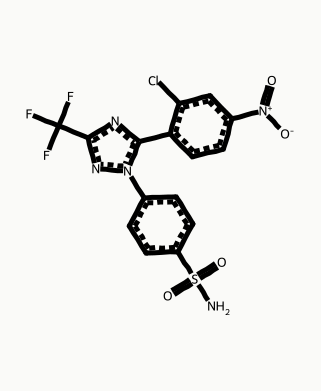 NS(=O)(=O)c1ccc(-n2nc(C(F)(F)F)nc2-c2ccc([N+](=O)[O-])cc2Cl)cc1